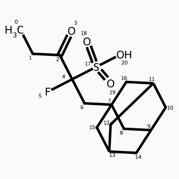 CCC(=O)C(F)(CC12CC3CC(CC(C3)C1)C2)S(=O)(=O)O